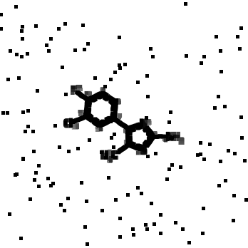 Cc1sc(N)nc1-c1ccc(F)c(Cl)c1